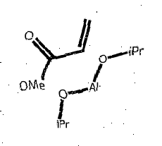 C=CC(=O)OC.CC(C)[O][Al][O]C(C)C